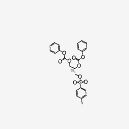 Cc1ccc(S(=O)(=O)OC[C@H](COC(=O)Oc2ccccc2)OC(=O)Oc2ccccc2)cc1